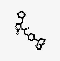 O=C(CC1CCC(c2ccnc3ccnn23)CC1)N1C(=O)OCC1Cc1ccccc1